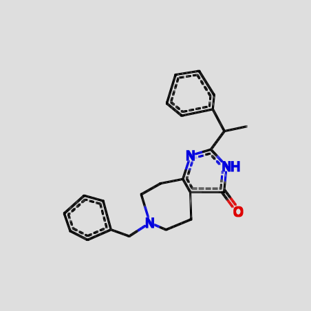 CC(c1ccccc1)c1nc2c(c(=O)[nH]1)CCN(Cc1ccccc1)CC2